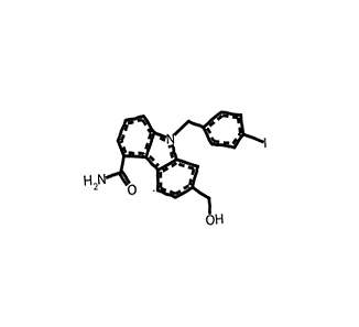 NC(=O)c1cccc2c1c1[c]cc(CO)cc1n2Cc1ccc(I)cc1